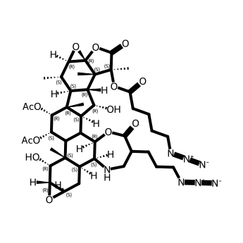 CC(=O)O[C@H]1C2C([C@H]3OC(=O)C(CCCN=[N+]=[N-])CN[C@H]3[C@H]3C[C@@H]4O[C@@H]4[C@H](O)[C@]23C)[C@@H]2[C@@H](O)[C@@H]3[C@H]([C@H](C)[C@H]4O[C@]45OC(=O)[C@@](C)(OC(=O)CCCCN=[N+]=[N-])[C@]35C)[C@@]2(C)[C@H]1OC(C)=O